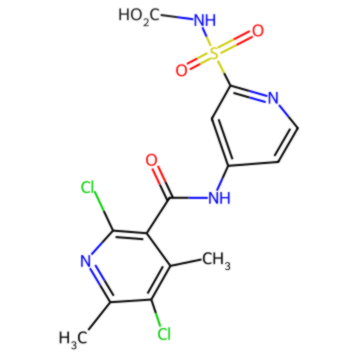 Cc1nc(Cl)c(C(=O)Nc2ccnc(S(=O)(=O)NC(=O)O)c2)c(C)c1Cl